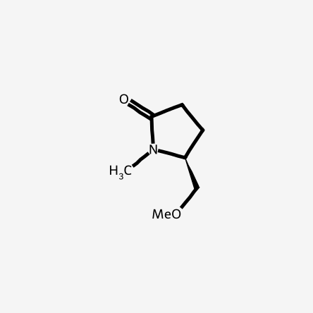 COC[C@@H]1CCC(=O)N1C